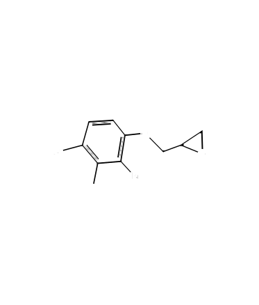 Cc1c(Br)ccc(OCC2CO2)c1Br